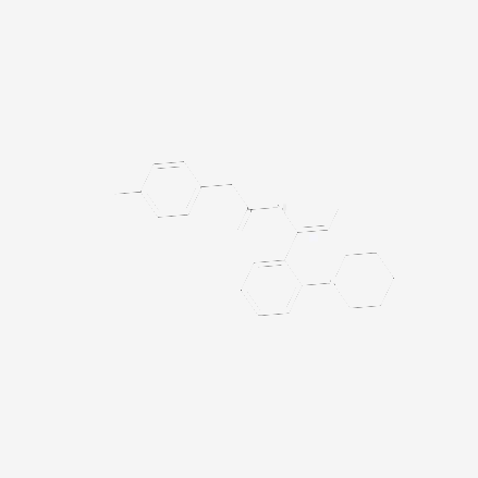 CC/C=C(\NC(=O)Cc1ccc(C(=O)O)cc1)c1ccccc1N1CCCCC1